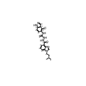 CN(C)CCn1cnc2c(C(=O)NNC(=S)Nc3ccc4[nH]ncc4c3Cl)cccc21